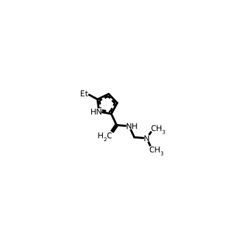 C=C(NCN(C)C)c1ccc(CC)[nH]1